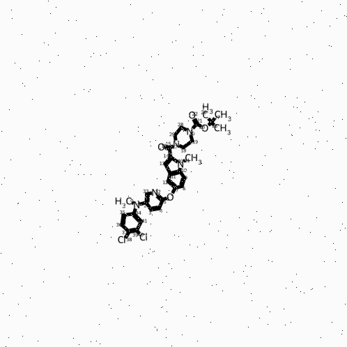 CN(c1ccc(Oc2ccc3c(c2)cc(C(=O)N2CCN(C(=O)OC(C)(C)C)CC2)n3C)nc1)c1ccc(Cl)c(Cl)c1